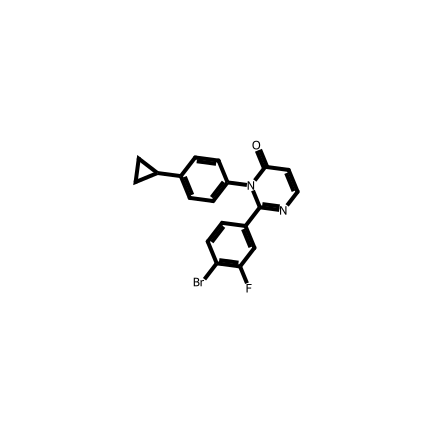 O=c1ccnc(-c2ccc(Br)c(F)c2)n1-c1ccc(C2CC2)cc1